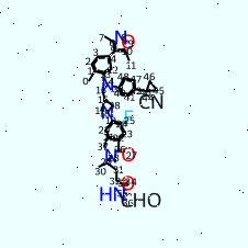 Cc1ccc(-c2c(C)noc2C)cc1N(CC1CN(c2cc3c(cc2F)C(=O)N(C(C)CCC(=O)NC=O)C3)C1)c1ccc(C2(C#N)CC2)cc1